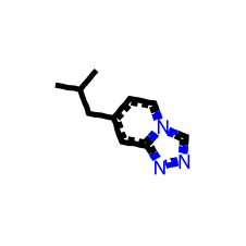 CC(C)Cc1ccn2cnnc2c1